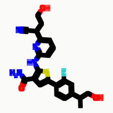 CC(CO)c1ccc(-c2cc(C(N)=O)c(Nc3cccc(C(C#N)CCO)n3)s2)c(F)c1